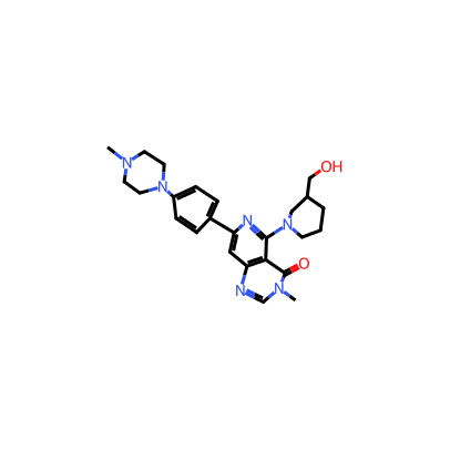 CN1CCN(c2ccc(-c3cc4ncn(C)c(=O)c4c(N4CCCC(CO)C4)n3)cc2)CC1